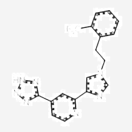 FC(F)(F)c1ccccc1CCn1cnc(-c2cc(-c3nn[nH]n3)ccn2)c1